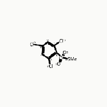 CSS(=O)(=O)c1c(Cl)cc(Cl)cc1Cl